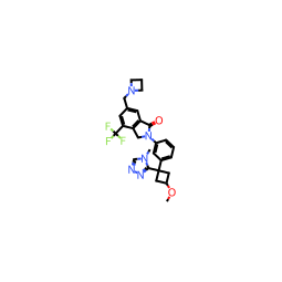 COC1CC(c2cccc(N3Cc4c(cc(CN5CCC5)cc4C(F)(F)F)C3=O)c2)(c2nncn2C)C1